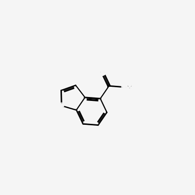 COC(=O)c1cccc2s[c]cc12